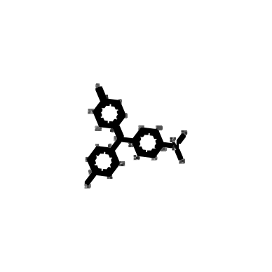 C=c1ccc(=C(c2ccc(C)cc2)c2ccc(N(C)C)cc2)cc1